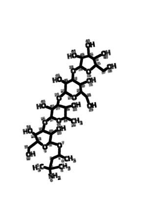 CC(CC(C)(C)N)OC1OC(CO)C(O)C(OC2OC(C)C(O)C(OC3OC(CO)C(O)C(OC4OC(CO)C(O)C(O)C4O)C3O)C2O)C1O